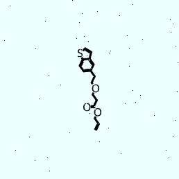 C=CCOC(=O)CCOCCc1ccc2sccc2c1